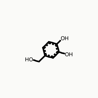 OCc1ccc(O)c(O)c1